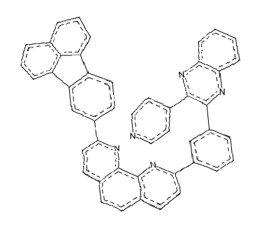 c1cc(-c2ccc3ccc4ccc(-c5ccc6c(c5)-c5cccc7cccc-6c57)nc4c3n2)cc(-c2nc3ccccc3nc2-c2ccncc2)c1